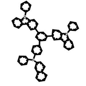 c1ccc(N(c2ccc(-c3cc(-c4ccc5c(c4)c4ccccc4n5-c4ccccc4)cc(-c4ccc5c(c4)c4ccccc4n5-c4ccccc4)c3)cc2)c2ccc3ccccc3c2)cc1